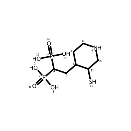 O=P(O)(O)C(CC1CCNCC1S)P(=O)(O)O